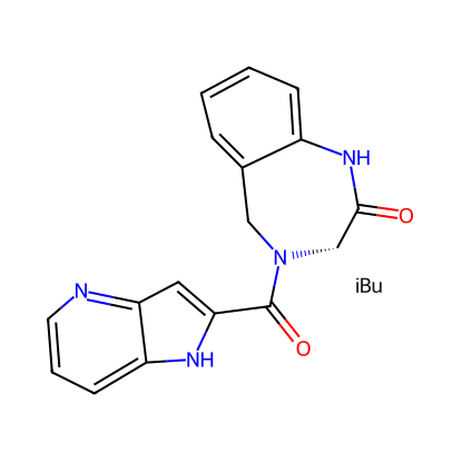 CC[C@H](C)[C@H]1C(=O)Nc2ccccc2CN1C(=O)c1cc2ncccc2[nH]1